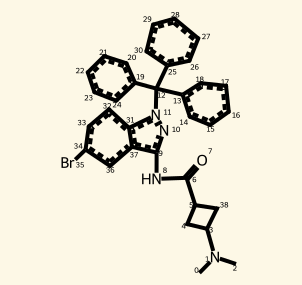 CN(C)C1CC(C(=O)Nc2nn(C(c3ccccc3)(c3ccccc3)c3ccccc3)c3ccc(Br)cc23)C1